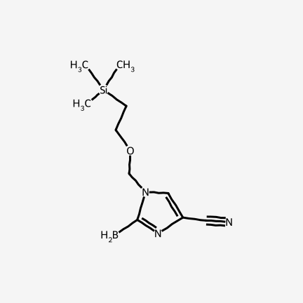 Bc1nc(C#N)cn1COCC[Si](C)(C)C